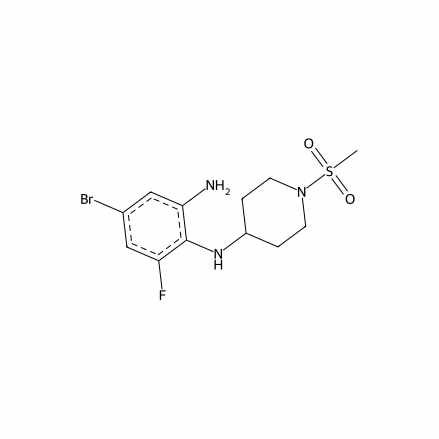 CS(=O)(=O)N1CCC(Nc2c(N)cc(Br)cc2F)CC1